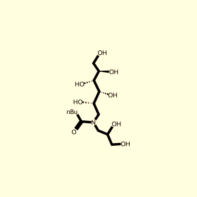 CCCCC(=O)N(CC(O)CO)C[C@H](O)[C@@H](O)[C@H](O)[C@H](O)CO